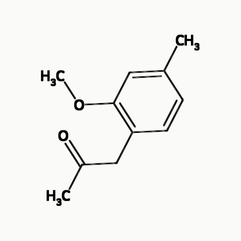 COc1cc(C)ccc1CC(C)=O